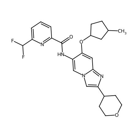 CC1CCC(Oc2cc3nc(C4CCOCC4)cn3cc2NC(=O)c2cccc(C(F)F)n2)C1